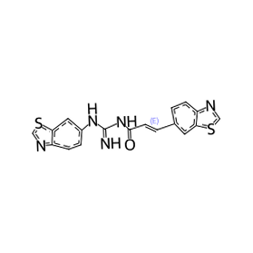 N=C(NC(=O)/C=C/c1ccc2ncsc2c1)Nc1ccc2ncsc2c1